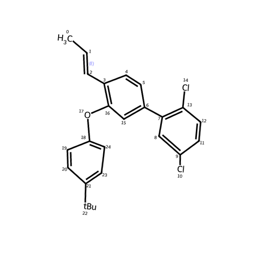 C/C=C/c1ccc(-c2cc(Cl)ccc2Cl)cc1Oc1ccc(C(C)(C)C)cc1